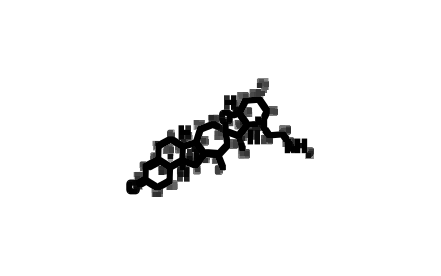 CC1=C2C[C@H]3[C@@H](CCC4=CC(=O)CC[C@@]43C)[C@@H]2CC[C@@]2(C1)O[C@@H]1C[C@H](C)CN(CCN)[C@H]1[C@H]2C